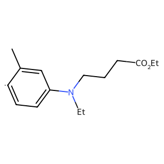 CCOC(=O)CCCN(CC)c1cc[c]c(C)c1